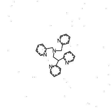 c1ccc(CN(Cc2ccccn2)CC(c2ccccn2)c2ccccn2)nc1